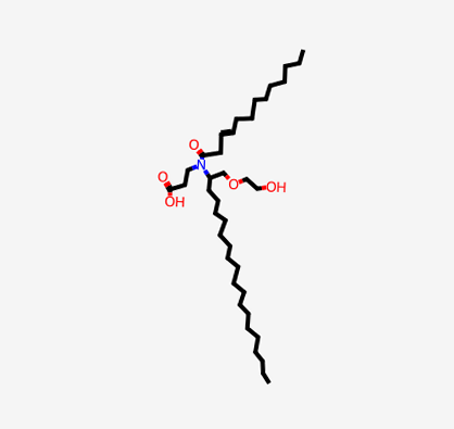 CCCCCCCCCC=CCC(=O)N(CCC(=O)O)C(CCCCCCCCCCCCCCCCCC)COCCO